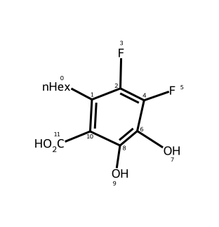 CCCCCCc1c(F)c(F)c(O)c(O)c1C(=O)O